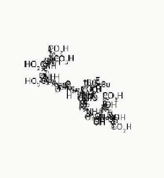 CC(C)(C)S(F)(c1ccc(C(=O)NC[C@H](C(=O)N[C@@H](CCCCNC(=O)CCC(=O)NCCC[C@@H](NC(=O)CC[C@H](NC(=O)N[C@@H](CCCC(=O)O)C(=O)O)C(=O)O)C(=O)O)C(=O)O)n2cc(CNC(=O)CCP(=O)(O)CN3CCN(CP(O)CCC(=O)O)CCN(CP(=O)(O)CCC(=O)O)CC3)nn2)cc1)C(C)(C)C